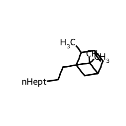 CCCCCCCCCC12CC(C=CC1C)C2(C)C